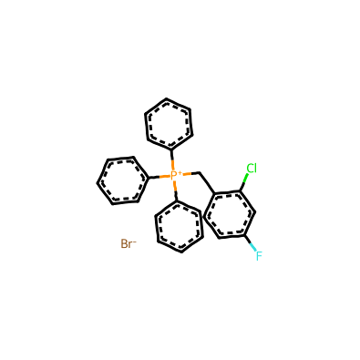 Fc1ccc(C[P+](c2ccccc2)(c2ccccc2)c2ccccc2)c(Cl)c1.[Br-]